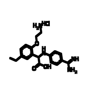 CCc1ccc(OCCN)c(C(Nc2ccc(C(=N)N)cc2)C(=O)O)c1.Cl